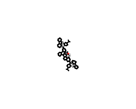 CC(C)c1ccc(N(c2ccc3c4c(ccc3c2)-c2c(c3ccc(N(c5ccc(C(C)C)cc5)c5cccc6c5oc5ccccc56)cc3c3ccccc23)C4([Si](C)(C)C)[Si](C)(C)C)c2cccc3c2oc2ccccc23)cc1